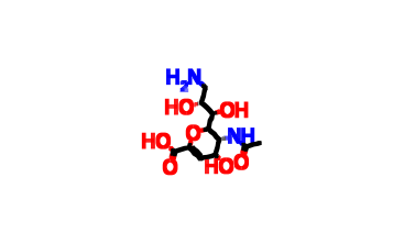 CC(=O)N[C@@H]1C(O)C=C(C(=O)O)OC1[C@H](O)[C@H](O)CN